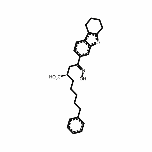 O=C(O)[C@H](CCCCCc1ccccc1)CC(=NO)c1ccc2c3c(oc2c1)CCCC3